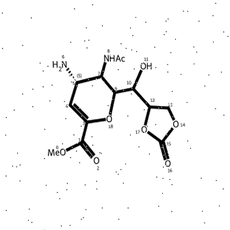 COC(=O)C1=C[C@H](N)C(NC(C)=O)C(C(O)C2COC(=O)O2)O1